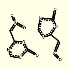 O=S=Cc1ncnc(=O)o1.O=c1ncnc(C=S(=O)=O)o1